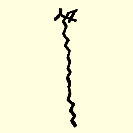 C=CCCCCCCC=CCCCCCCCCCCC(CC)(P(=O)=O)[N+](C)(C)C